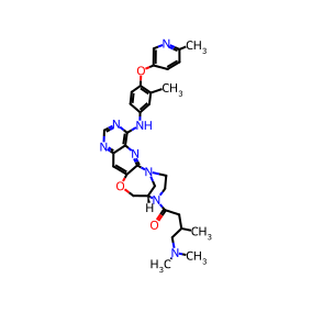 Cc1ccc(Oc2ccc(Nc3ncnc4cc5c(nc34)N3CCN(C(=O)CC(C)CN(C)C)[C@H](CO5)C3)cc2C)cn1